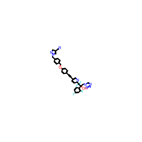 N#Cc1cnn(Cc2ccc(COc3ccc(C#Cc4ccc(C(F)(F)C(O)(Cn5cnnn5)c5ccc(F)cc5F)nc4)cc3)cc2)c1